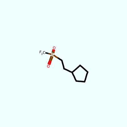 O=S(=O)(CCC1CCCC1)C(F)(F)F